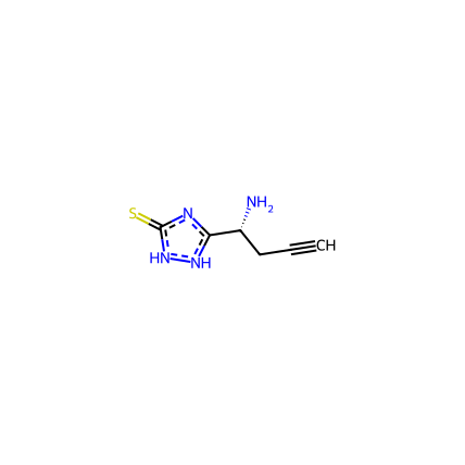 C#CC[C@@H](N)c1nc(=S)[nH][nH]1